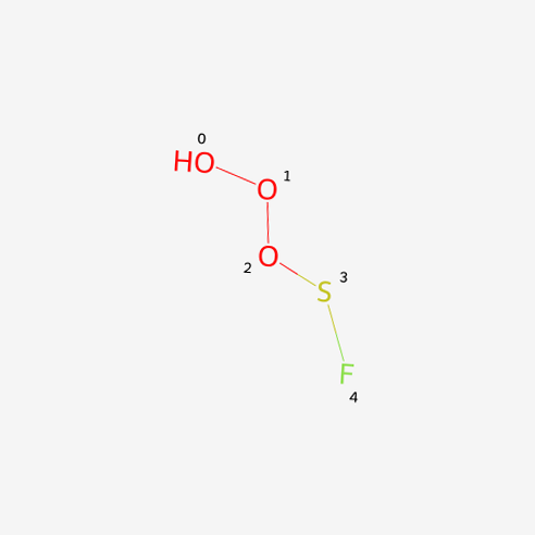 OOOSF